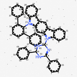 c1ccc(C2=NC(n3c4ccccc4c4cc5c6ccccc6n(-c6c(-c7ccccc7)cccc6-c6ccccc6)c5cc43)NC(c3ccccc3)N2)cc1